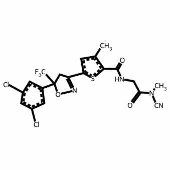 Cc1cc(C2=NOC(c3cc(Cl)cc(Cl)c3)(C(F)(F)F)C2)sc1C(=O)NCC(=O)N(C)C#N